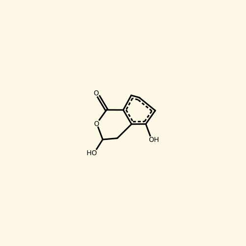 O=C1OC(O)Cc2c(O)cccc21